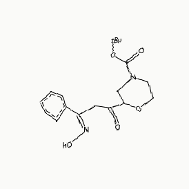 CC(C)(C)OC(=O)N1CCOC(C(=O)CC(=NO)c2ccccc2)C1